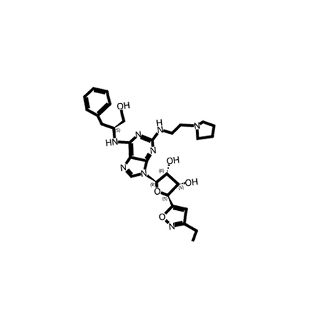 CCc1cc([C@H]2O[C@@H](n3cnc4c(N[C@H](CO)Cc5ccccc5)nc(NCCN5CCCC5)nc43)[C@H](O)[C@@H]2O)on1